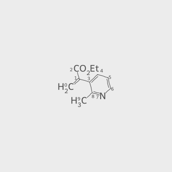 C=C(C(=O)OCC)c1cccnc1C